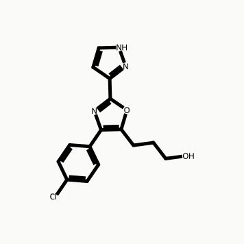 OCCCc1oc(-c2cc[nH]n2)nc1-c1ccc(Cl)cc1